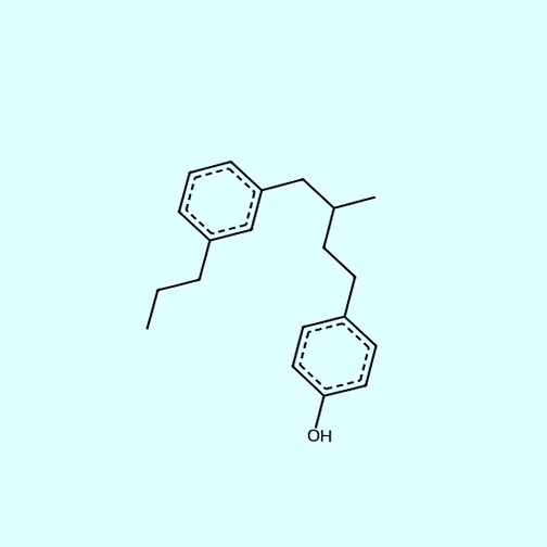 CCCc1cccc(CC(C)CCc2ccc(O)cc2)c1